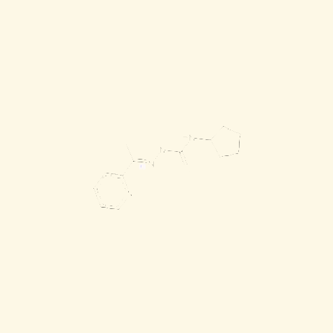 C/C(=N\NC(=S)NC1CCCC1)c1ccccn1